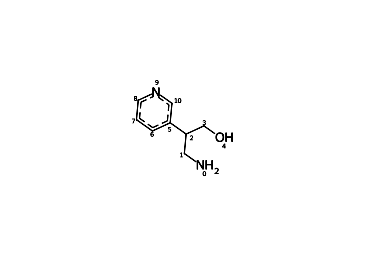 NCC(CO)c1cccnc1